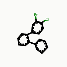 Clc1ccc(-c2ccccc2-c2ccccc2)cc1Br